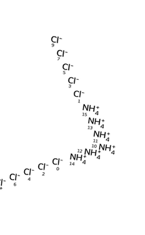 [Cl-].[Cl-].[Cl-].[Cl-].[Cl-].[Cl-].[Cl-].[Cl-].[Cl-].[Cl-].[NH4+].[NH4+].[NH4+].[NH4+].[NH4+].[NH4+].[Ru+4]